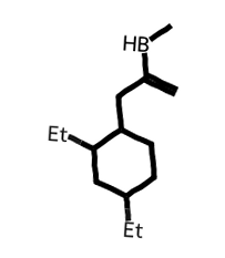 C=C(BC)CC1CCC(CC)CC1CC